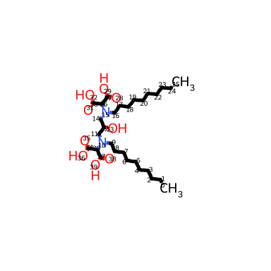 CCCCCCCCCCN(CC(O)CN(CCCCCCCCCC)C(C(=O)O)C(=O)O)C(C(=O)O)C(=O)O